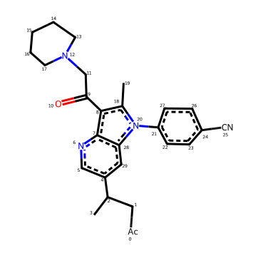 CC(=O)CC(C)c1cnc2c(C(=O)CN3CCCCC3)c(C)n(-c3ccc(C#N)cc3)c2c1